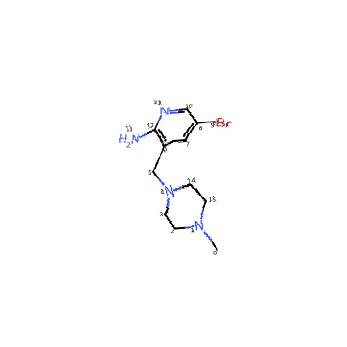 CN1CCN(Cc2cc(Br)cnc2N)CC1